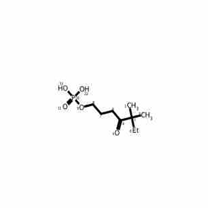 CCC(C)(C)C(=O)CCCOP(=O)(O)O